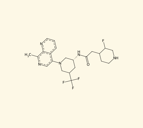 Cc1ncc(N2CC(C(F)(F)F)C[C@@H](NC(=O)CC3CCNCC3F)C2)c2cccnc12